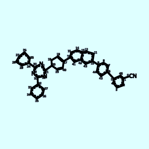 N#Cc1cccc(-c2ccc(-c3ccc4ccc(C5=CCC(c6nc(-c7ccccc7)nc(-c7ccccc7)n6)C=C5)cc4c3)cc2)c1